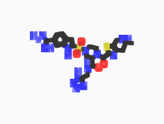 CC1Cc2nc(C(=O)N3CCN(S(=O)(=O)c4cc5ccc(C(=N)N)cc5[nH]4)CC3C(=O)NCc3nnn[nH]3)sc2CN1